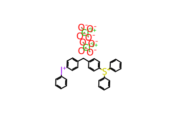 [O-][Cl+3]([O-])([O-])[O-].[O-][Cl+3]([O-])([O-])[O-].c1ccc([I+]c2ccc(Cc3ccc([S+](c4ccccc4)c4ccccc4)cc3)cc2)cc1